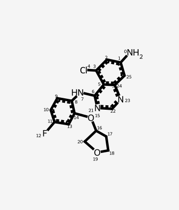 Nc1cc(Cl)c2c(Nc3ccc(F)cc3OC3CCOC3)ncnc2c1